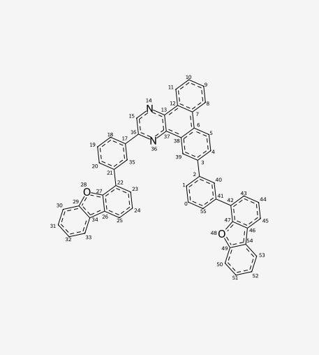 c1cc(-c2ccc3c4ccccc4c4ncc(-c5cccc(-c6cccc7c6oc6ccccc67)c5)nc4c3c2)cc(-c2cccc3c2oc2ccccc23)c1